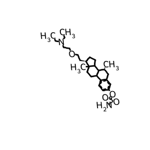 CCN(CC)CCOCC[C@H]1CCC2C3C(CCC21C)c1ccc(OS(N)(=O)=O)cc1C[C@H]3C